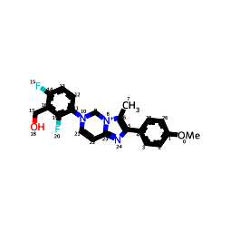 COc1ccc(C2=C(C)[N+]3CN(c4ccc(F)c(CO)c4F)C=CC3=N2)cc1